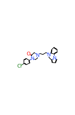 O=C1CN(CCCN2Cc3cccn3-c3ccccc32)CCN1c1ccc(Cl)cc1